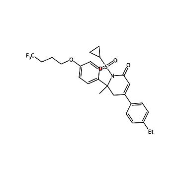 CCc1ccc(C2=CC(=O)N(S(=O)(=O)C3CC3)C(C)(c3ccc(OCCCC(F)(F)F)cc3)C2)cc1